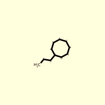 CCCC1CCCCCCC1